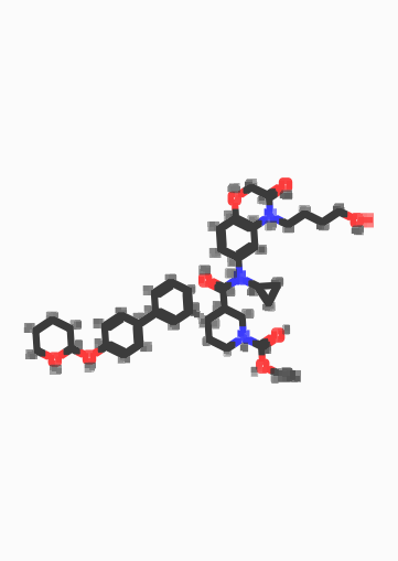 CC(C)(C)OC(=O)N1CC[C@H](c2cccc(-c3ccc(OC4CCCCO4)cc3)c2)C(C(=O)N(c2ccc3c(c2)N(CCCCO)C(=O)CO3)C2CC2)C1